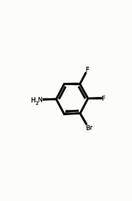 Nc1cc(F)c(F)c(Br)c1